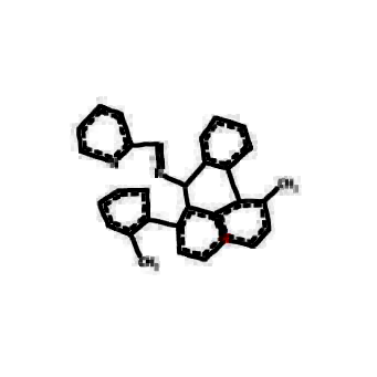 Cc1ccccc1-c1ccccc1C(/N=C/c1ccccn1)c1ccccc1-c1ccccc1C